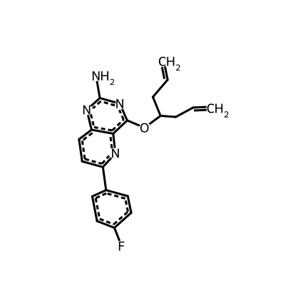 C=CCC(CC=C)Oc1nc(N)nc2ccc(-c3ccc(F)cc3)nc12